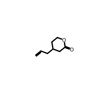 C=CCC1CCOC(=O)C1